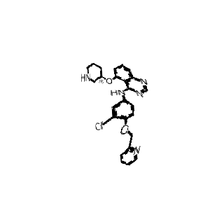 Clc1cc(Nc2ncnc3cccc(O[C@@H]4CCCNC4)c23)ccc1OCc1ccccn1